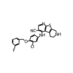 N#Cc1cnc2sc3c(c2c1Nc1ccc(OCc2cccc(F)c2)c(Cl)c1)CCNC3